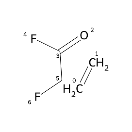 C=C.O=C(F)CF